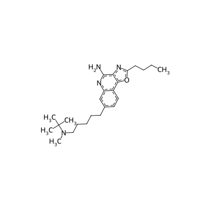 CCCCc1nc2c(N)nc3cc(CCCCCN(C)C(C)(C)C)ccc3c2o1